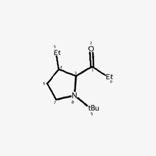 CCC(=O)C1C(CC)CCN1C(C)(C)C